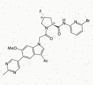 COc1cc2c(cc1-c1cnc(C)nc1)c(C(C)=O)cn2CC(=O)N1C[C@H](F)C[C@H]1C(=O)Nc1cccc(Br)n1